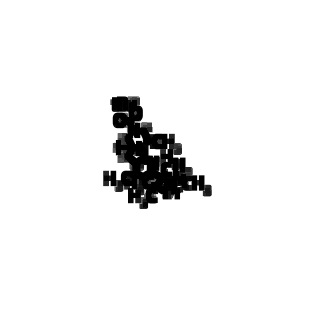 C[SiH2]OC(C)(c1cc(C)c2c(n1)N1[C@H](C2)CN(C(=O)OC(C)(C)C)C[C@H]1C)C(C)(C)C(C)C